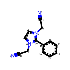 N#CCn1cc[n+](CC#N)c1-c1ccccc1